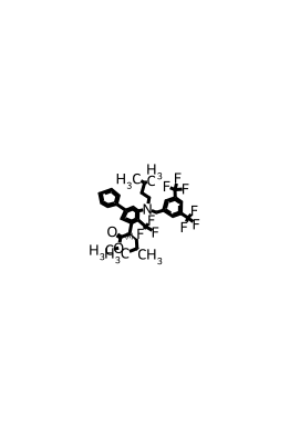 COC(=O)[C@H](CC(C)C)c1cc(-c2ccccc2)cc(N(CCC(C)C)Cc2cc(C(F)(F)F)cc(C(F)(F)F)c2)c1C(F)(F)F